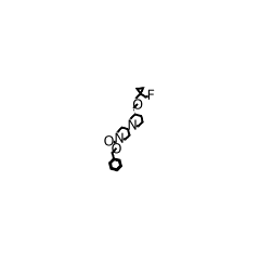 O=C(OCc1ccccc1)N1CCC(N2CCC[C@@H](COCC3(CF)CC3)C2)CC1